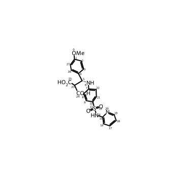 COc1ccc([C@H](Nc2ccc(S(=O)(=O)Nc3ccccn3)cc2)C(C(=O)O)C(=O)O)cc1